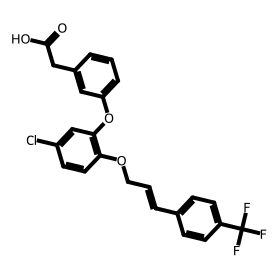 O=C(O)Cc1cccc(Oc2cc(Cl)ccc2OCC=Cc2ccc(C(F)(F)F)cc2)c1